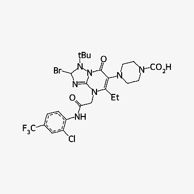 CCC1=C(N2CCN(C(=O)O)CC2)C(=O)N2C(=NC(Br)N2C(C)(C)C)N1CC(=O)Nc1ccc(C(F)(F)F)cc1Cl